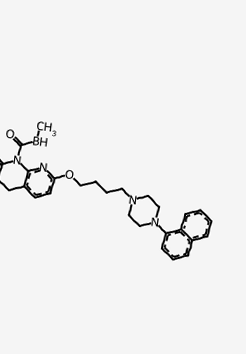 CBC(=O)N1C(=O)CCc2ccc(OCCCCN3CCN(c4cccc5ccccc45)CC3)nc21